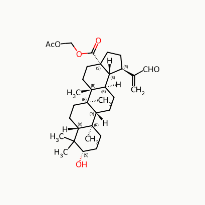 C=C(C=O)[C@@H]1CC[C@]2(C(=O)OCOC(C)=O)CC[C@]3(C)[C@H](CC[C@@H]4[C@@]5(C)CC[C@H](O)C(C)(C)[C@@H]5CC[C@]43C)[C@@H]12